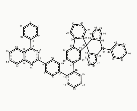 c1ccc(-c2nc(-c3ccc(-c4ccccc4-c4ccc5c(c4)C4(c6ccccc6-5)c5ccccc5N(c5ccccc5)c5ccccc54)cc3)nc3ccccc23)cc1